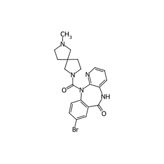 CN1CCC2(CCN(C(=O)N3c4ccc(Br)cc4C(=O)Nc4cccnc43)C2)C1